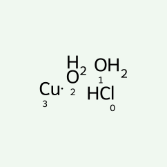 Cl.O.O.[Cu]